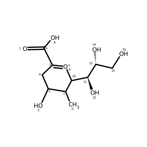 CC1C(O)CC(C(=O)O)=[O+]C1[C@H](O)[C@H](O)CO